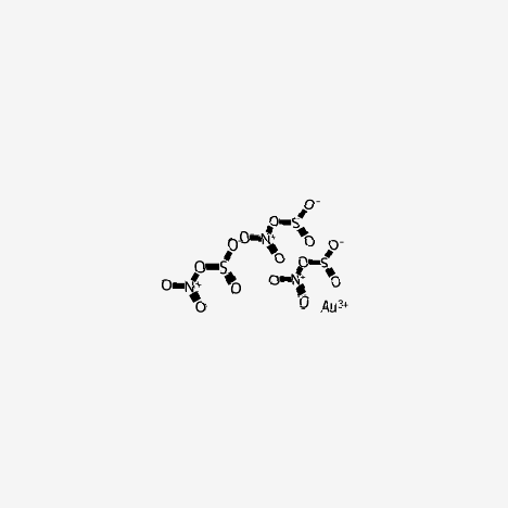 O=[N+]([O-])OS(=O)[O-].O=[N+]([O-])OS(=O)[O-].O=[N+]([O-])OS(=O)[O-].[Au+3]